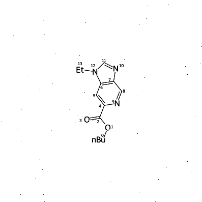 CCCCOC(=O)c1cc2c(cn1)ncn2CC